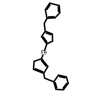 C1=C(Cc2ccccc2)C=[C]([Fe][C]2=CC(Cc3ccccc3)=CC2)C1